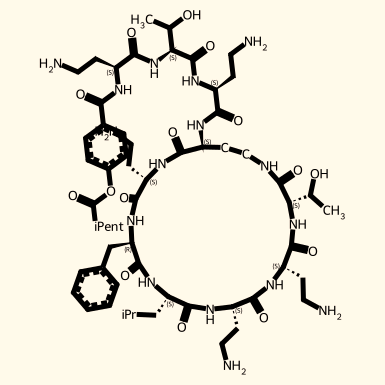 CCCC(C)C(=O)Oc1ccc(C(=O)N[C@@H](CCN)C(=O)N[C@H](C(=O)N[C@@H](CCN)C(=O)N[C@H]2CCNC(=O)[C@H](C(C)O)NC(=O)[C@H](CCN)NC(=O)[C@H](CCN)NC(=O)[C@H](CC(C)C)NC(=O)[C@@H](Cc3ccccc3)NC(=O)[C@H](CCN)NC2=O)C(C)O)cc1